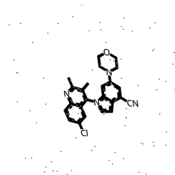 Cc1nc2ccc(Cl)cc2c(-n2ccc3c(C#N)cc(N4CCOCC4)cc32)c1C